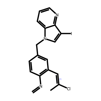 C=Nc1ccc(Cn2cc(I)c3ncccc32)cc1/C=C(\C)Cl